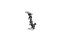 O=C(O)Oc1cn(C2CC2)c2cc(N3CCC(COc4ccc(N5C[C@H](CO)OC5=O)cc4F)CC3)c(F)cc2c1=O